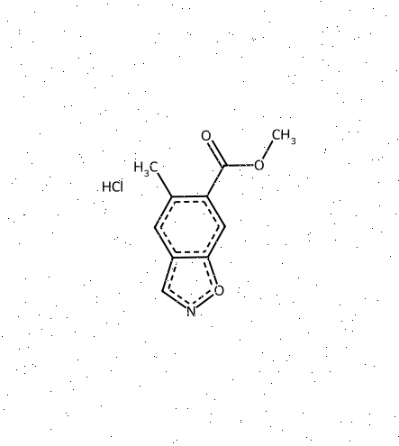 COC(=O)c1cc2oncc2cc1C.Cl